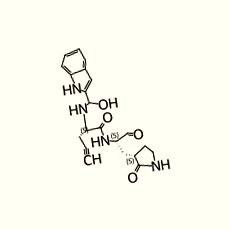 C#CC[C@H](NC(O)c1cc2ccccc2[nH]1)C(=O)N[C@H](C=O)C[C@@H]1CCNC1=O